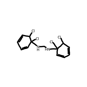 ClC1C=CC=CC1(Cl)NCNC1(Cl)C=CC=CC1Cl